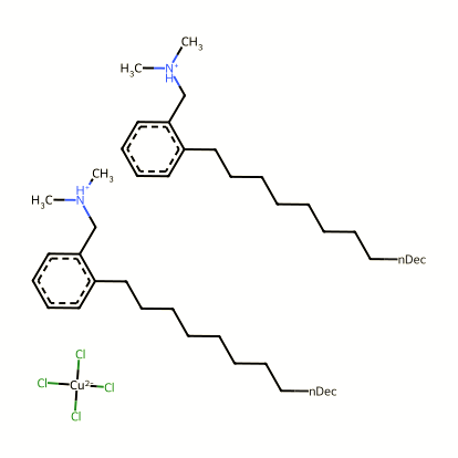 CCCCCCCCCCCCCCCCCCc1ccccc1C[NH+](C)C.CCCCCCCCCCCCCCCCCCc1ccccc1C[NH+](C)C.[Cl][Cu-2]([Cl])([Cl])[Cl]